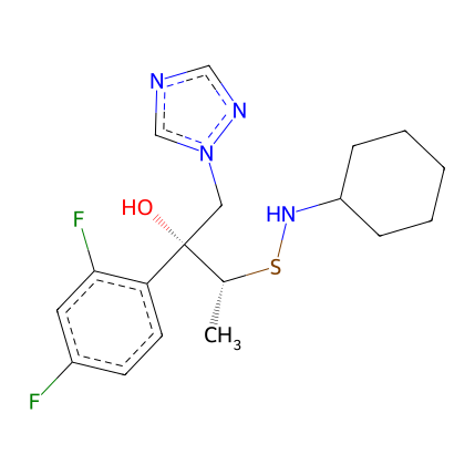 C[C@@H](SNC1CCCCC1)[C@](O)(Cn1cncn1)c1ccc(F)cc1F